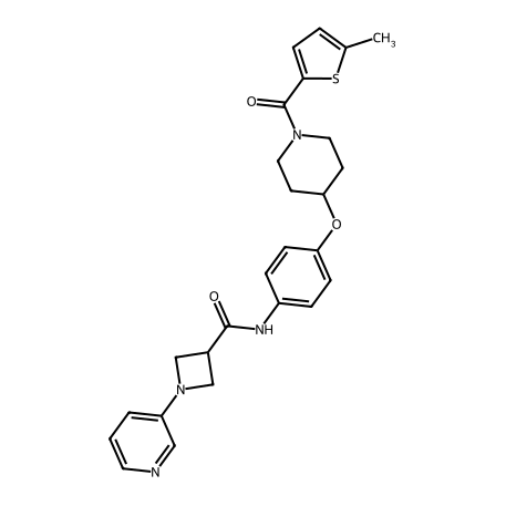 Cc1ccc(C(=O)N2CCC(Oc3ccc(NC(=O)C4CN(c5cccnc5)C4)cc3)CC2)s1